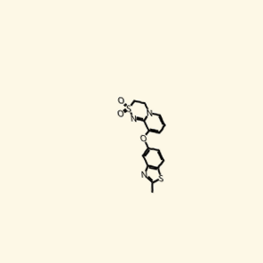 Cc1nc2cc(OC3=CC=CN4CCS(=O)(=O)N=C34)ccc2s1